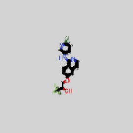 OC(COc1ccc2c(Nc3ccc(Cl)nc3)nccc2c1)C(F)(F)F